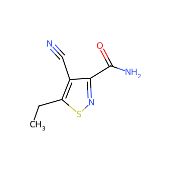 CCc1snc(C(N)=O)c1C#N